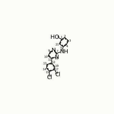 Oc1cccc(Nc2nccc(-c3ccc(Cl)c(Cl)c3)n2)c1